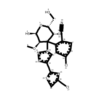 CO[C@H]1[C@@H](S)O[C@H](CO)[C@H](O)C1(c1cc(Cl)ccc1C#N)n1cc(-c2nc(Cl)cs2)nn1